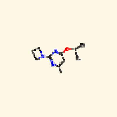 CCC(CC)Oc1cc(C)nc(N2CCC2)n1